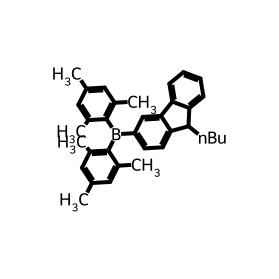 CCCCC1c2ccccc2-c2cc(B(c3c(C)cc(C)cc3C)c3c(C)cc(C)cc3C)ccc21